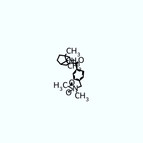 CN(Cc1ccc(C(=O)N2CC3CCC(C)(C2)C3(C)C)cc1)S(C)(=O)=O